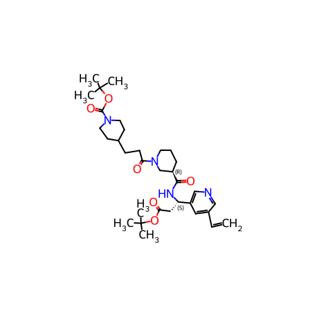 C=Cc1cncc([C@H](CC(=O)OC(C)(C)C)NC(=O)[C@@H]2CCCN(C(=O)CCC3CCN(C(=O)OC(C)(C)C)CC3)C2)c1